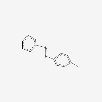 [CH2]c1ccc(N=Nc2ccccc2)cc1